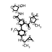 C[C@H](Nc1cc(C(F)(F)F)c(-c2sc(C(=O)N[C@@H]3COC[C@@H]3O)nc2C(=O)N2CC(F)(F)C[C@@H]2C)cn1)C1CC1